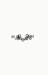 CS(=O)(=O)c1ccc(OCCN2CCC3(CC2)C(=O)Nc2ccccc23)cc1